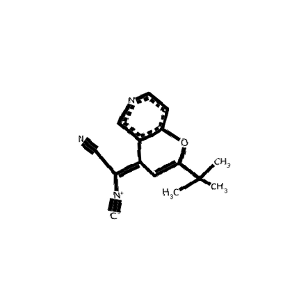 [C-]#[N+]/C(C#N)=C1\C=C(C(C)(C)C)Oc2ccncc21